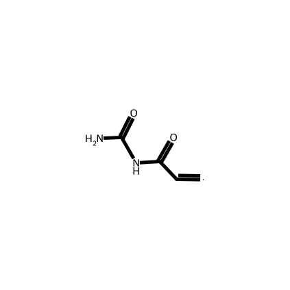 [CH]=CC(=O)NC(N)=O